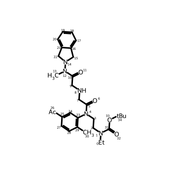 CCN(CCN(C(=O)CNCC(=O)N(C)N1Cc2ccccc2C1)c1cc(C(C)=O)ccc1C)C(=O)OC(C)(C)C